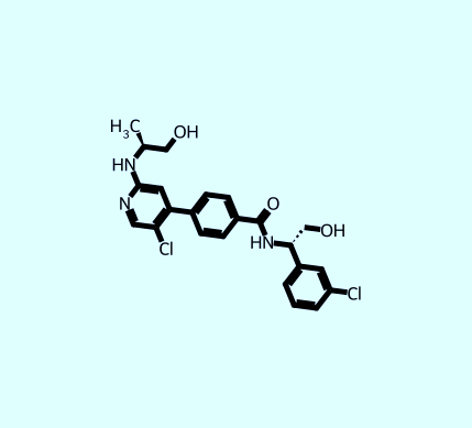 C[C@@H](CO)Nc1cc(-c2ccc(C(=O)N[C@H](CO)c3cccc(Cl)c3)cc2)c(Cl)cn1